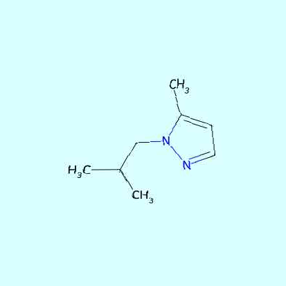 C[C](C)Cn1nccc1C